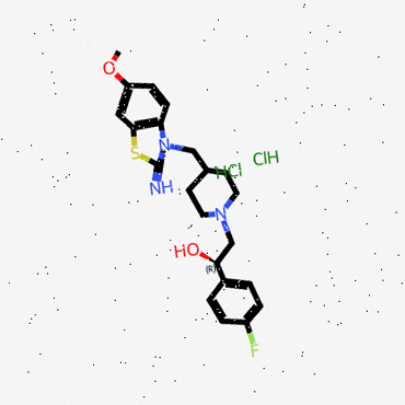 COc1ccc2c(c1)sc(=N)n2CC1CCN(C[C@H](O)c2ccc(F)cc2)CC1.Cl.Cl